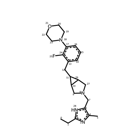 CCc1nc(C)c(CN2CC3C(Cc4[c]ccc(N5CCOCC5)c4F)C3C2)[nH]1